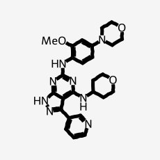 COc1cc(N2CCOCC2)ccc1Nc1nc(NC2CCOCC2)c2c(-c3cccnc3)n[nH]c2n1